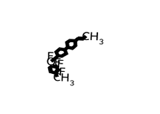 CC=CC1CCC(C2CCC(C(F)(F)Oc3ccc(C)c(F)c3F)CC2)CC1